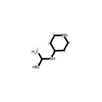 CCCCC(C)NC1CCNCC1